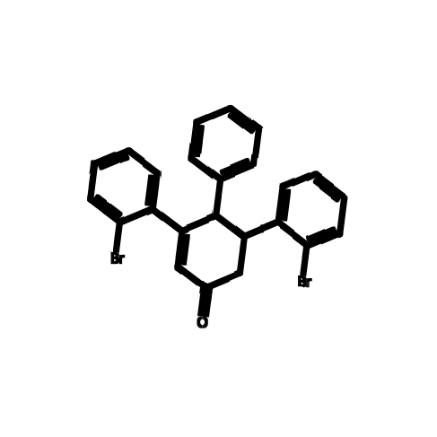 O=C1C=C(c2ccccc2Br)C(c2ccccc2)C(c2ccccc2Br)C1